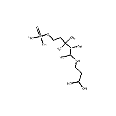 CC(C)(CCOP(=O)(O)O)[C@@H](O)C(O)NCCC(O)O